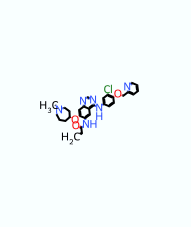 C=CC(=O)Nc1cc2c(Nc3ccc(OCc4ccccn4)c(Cl)c3)ncnc2cc1O[C@H]1CCCN(C)CC1